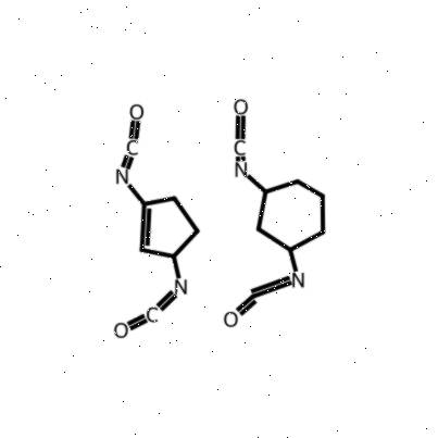 O=C=NC1=CC(N=C=O)CC1.O=C=NC1CCCC(N=C=O)C1